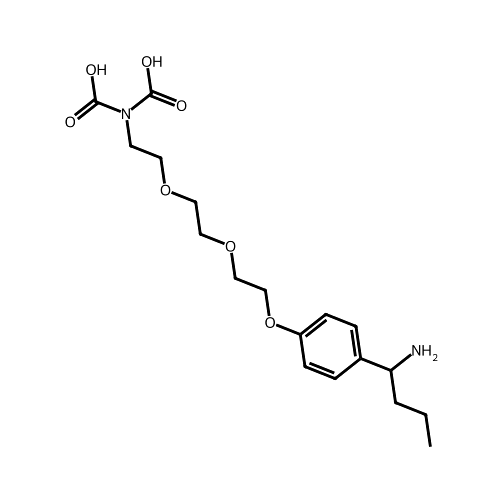 CCCC(N)c1ccc(OCCOCCOCCN(C(=O)O)C(=O)O)cc1